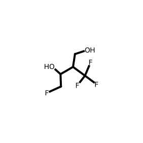 OCC(C(O)CF)C(F)(F)F